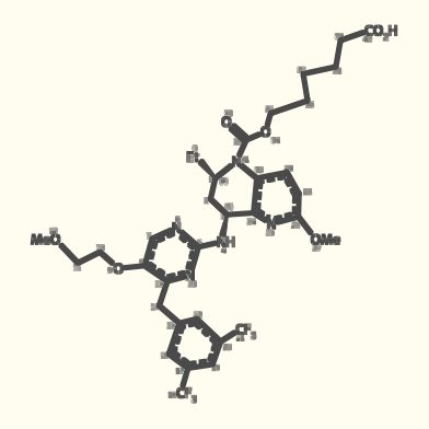 CC[C@@H]1C[C@H](Nc2ncc(OCCOC)c(Cc3cc(C(F)(F)F)cc(C(F)(F)F)c3)n2)c2nc(OC)ccc2N1C(=O)OCCCCCC(=O)O